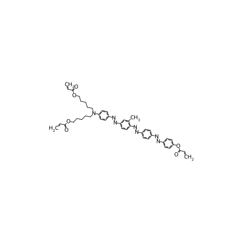 C=CC(=O)OCCCCCN(CCCCCOC(=O)C=C)c1ccc(N=Nc2ccc(N=Nc3ccc(N=Nc4ccc(OC(=O)C=C)cc4)cc3)c(C)c2)cc1